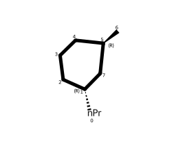 CCC[C@@H]1CCC[C@@H](C)C1